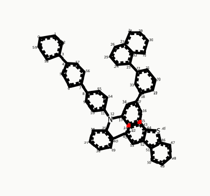 c1ccc(-c2ccc(-c3ccc(N(c4cccc(-c5cccc(-c6cccc7ccccc67)c5)c4)c4ccccc4-c4ccc5sc6ccccc6c5c4)cc3)cc2)cc1